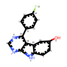 Oc1ccc2[nH]c3ncnc(-c4ccc(F)cc4)c3c2c1